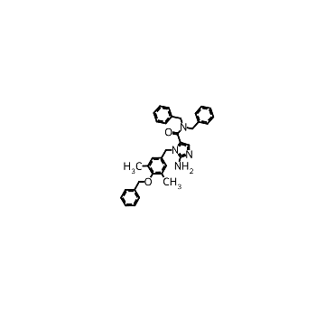 Cc1cc(Cn2c(C(=O)N(Cc3ccccc3)Cc3ccccc3)cnc2N)cc(C)c1OCc1ccccc1